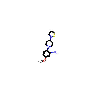 COc1ccc(N2CCC(N3CCCS3)CC2)c(N)c1